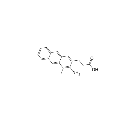 Cc1c(N)c(CCC(=O)O)cc2cc3ccccc3cc12